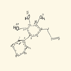 C=CCc1cc(-c2ccccc2)c(O)c(O)c1O